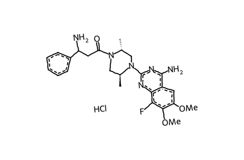 COc1cc2c(N)nc(N3C[C@@H](C)N(C(=O)CC(N)c4ccccc4)C[C@@H]3C)nc2c(F)c1OC.Cl